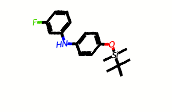 CC(C)(C)[Si](C)(C)Oc1ccc(Nc2cccc(F)c2)cc1